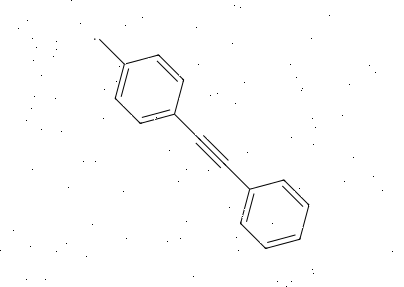 [CH2]c1ccc(C#Cc2ccccc2)cc1